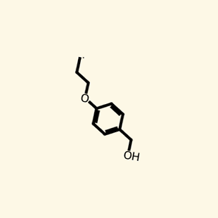 [CH2]CCOc1ccc(CO)cc1